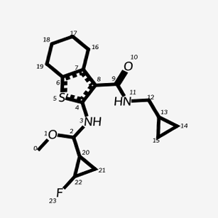 COC(Nc1sc2c(c1C(=O)NCC1CC1)CCCC2)C1CC1F